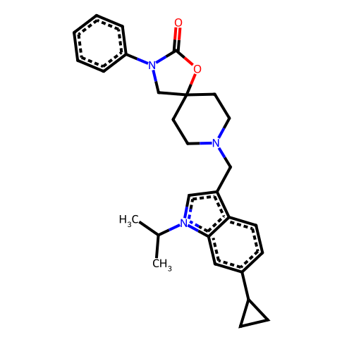 CC(C)n1cc(CN2CCC3(CC2)CN(c2ccccc2)C(=O)O3)c2ccc(C3CC3)cc21